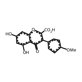 COc1ccc(-c2c(C(=O)O)oc3cc(O)cc(O)c3c2=O)cc1